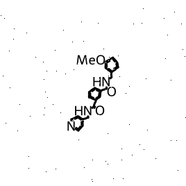 COc1cccc(CNC(=O)c2cccc(C(=O)NCc3ccncc3)c2)c1